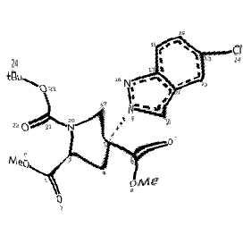 COC(=O)[C@@H]1C[C@@](C(=O)OC)(n2cc3cc(Cl)ccc3n2)CN1C(=O)OC(C)(C)C